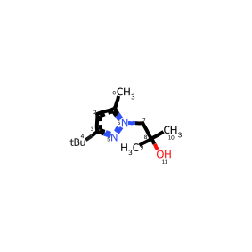 Cc1cc(C(C)(C)C)nn1CC(C)(C)O